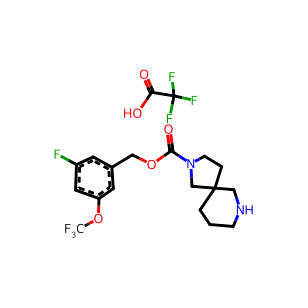 O=C(O)C(F)(F)F.O=C(OCc1cc(F)cc(OC(F)(F)F)c1)N1CCC2(CCCNC2)C1